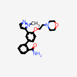 Cn1nccc1-c1cc(-c2ccccc2C(N)=O)ccc1OCCN1CCOCC1